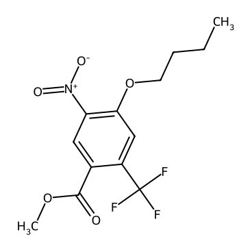 CCCCOc1cc(C(F)(F)F)c(C(=O)OC)cc1[N+](=O)[O-]